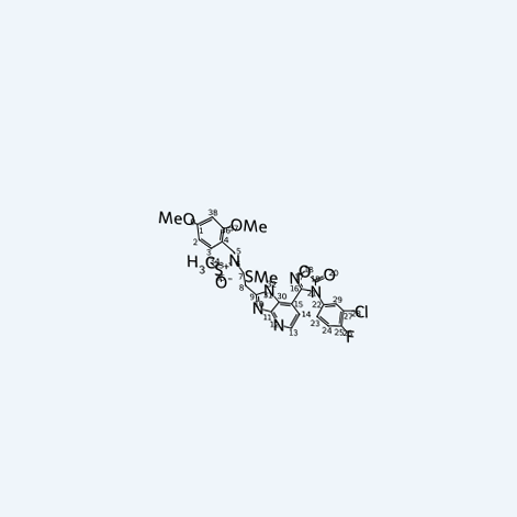 COc1ccc(CN(CCc2nc3nccc(-c4noc(=O)n4-c4ccc(F)c(Cl)c4)c3n2SC)[S+](C)[O-])c(OC)c1